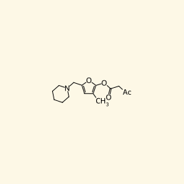 CC(=O)CC(=O)Oc1oc(CN2CCCCC2)cc1C